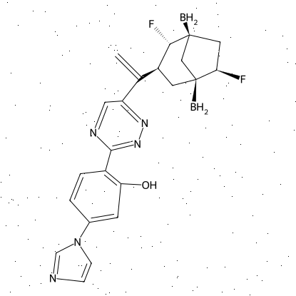 B[C@]12C[C@@H](C(=C)c3cnc(-c4ccc(-n5ccnc5)cc4O)nn3)[C@H](F)[C@](B)(C[C@H]1F)C2